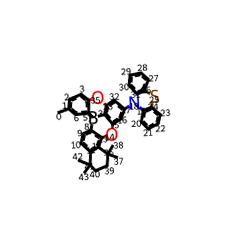 Cc1ccc2c(c1)B1c3ccc4c(c3Oc3cc(N5c6ccccc6Sc6ccccc65)cc(c31)O2)C(C)(C)CCC4(C)C